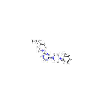 O=C(O)C1CCN(c2ncnc(N3CCN(c4ccccc4C(F)(F)F)CC3)n2)CC1